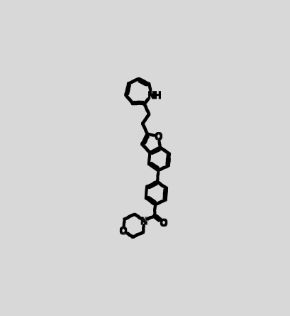 O=C(c1ccc(-c2ccc3oc(CCC4=CC=CC=CN4)cc3c2)cc1)N1CCOCC1